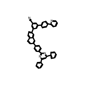 N#Cc1cc(-c2ccc(-c3ccccn3)cc2)cc(-c2ccc3ccc(-c4ccc(-c5nc(-c6ccccc6)cc(-c6ccccc6)n5)cc4)cc3c2)c1